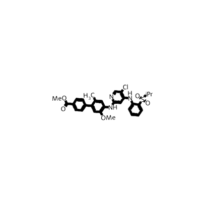 COC(=O)c1ccc(-c2cc(OC)c(Nc3cc(Nc4ccccc4S(=O)(=O)C(C)C)c(Cl)cn3)cc2C)cc1